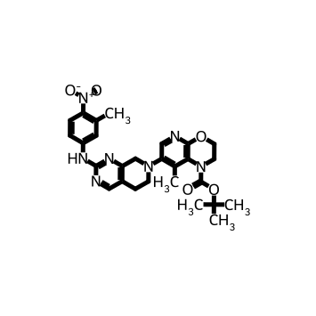 Cc1cc(Nc2ncc3c(n2)CN(c2cnc4c(c2C)N(C(=O)OC(C)(C)C)CCO4)CC3)ccc1[N+](=O)[O-]